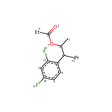 CCC(=O)OC(C)C(c1ccc(F)cc1F)C(C)C